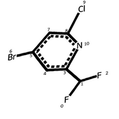 FC(F)c1cc(Br)cc(Cl)n1